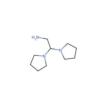 NCC(N1CCCC1)N1CCCC1